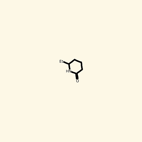 CCC1CCCC(=O)N1